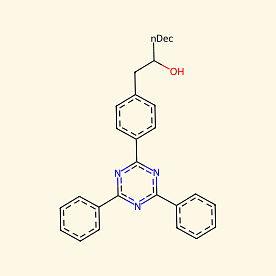 CCCCCCCCCCC(O)Cc1ccc(-c2nc(-c3ccccc3)nc(-c3ccccc3)n2)cc1